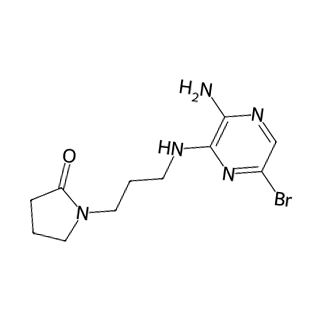 Nc1ncc(Br)nc1NCCCN1CCCC1=O